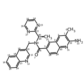 Cc1cc2cc(C(=O)N(Cc3cnc4ccccc4c3)[C@H](C)c3ncccn3)ccc2nc1N